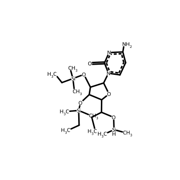 CCC(O[SiH](C)C)C1OC(n2ccc(N)nc2=O)C(O[Si](C)(C)CC)C1O[Si](C)(C)CC